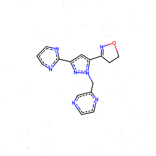 c1cnc(-c2cc(C3=NOCC3)n(Cc3cnccn3)n2)nc1